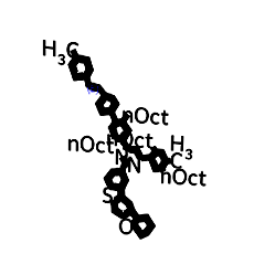 CCCCCCCCc1cc(-c2cc(-c3cc(CCCCCCCC)c(-c4ccc(/C=C/c5ccc(C)cc5)cc4)cc3CCCCCCCC)nc(-c3ccc4sc5cc6oc7ccccc7c6cc5c4c3)n2)c(CCCCCCCC)cc1C